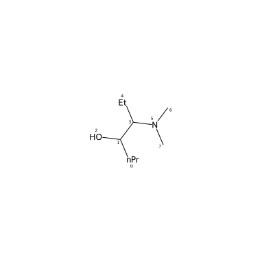 CCCC(O)C(CC)N(C)C